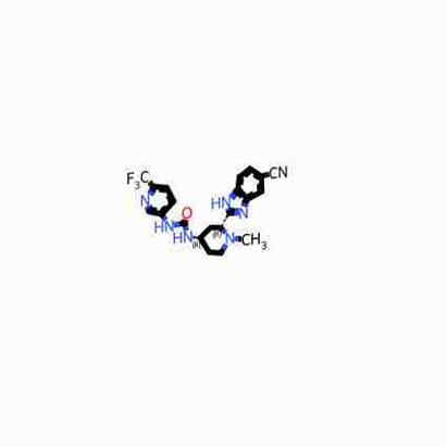 CN1CC[C@@H](NC(=O)Nc2ccc(C(F)(F)F)nc2)C[C@@H]1c1nc2cc(C#N)ccc2[nH]1